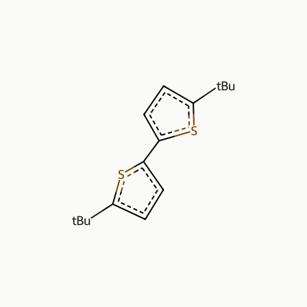 CC(C)(C)c1ccc(-c2ccc(C(C)(C)C)s2)s1